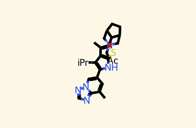 CC(=O)CN1CC2CCC(C1)C2c1sc2[nH]c(-c3cc(C)c4ncnn4c3)c(C(C)C)c2c1C